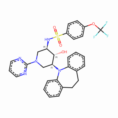 O=S(=O)(N[C@@H]1CN(c2ncccn2)C[C@H](N2c3ccccc3CCc3ccccc32)[C@H]1O)c1ccc(OC(F)(F)F)cc1